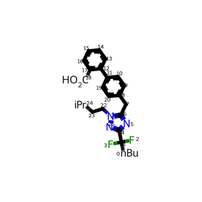 CCCCC(F)(F)c1nc(Cc2ccc(-c3ccccc3C(=O)O)cc2)n(CCC(C)C)n1